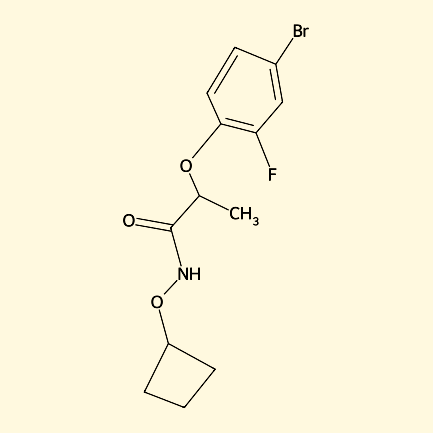 CC(Oc1ccc(Br)cc1F)C(=O)NOC1CCC1